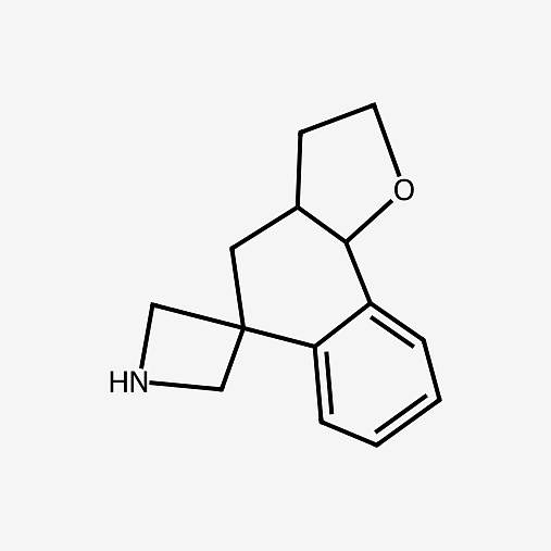 c1ccc2c(c1)C1OCCC1CC21CNC1